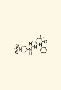 CC1(C)Cc2cnc(NC3CCN(S(C)(=O)=O)CC3)nc2N(c2ccccc2)C1=O